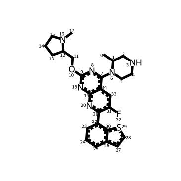 CC1CNCCN1c1nc(OCC2CCCN2C)nc2nc(-c3cccc4ccsc34)c(F)cc12